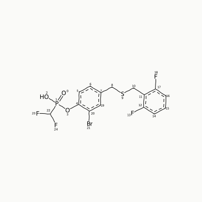 O=P(O)(Oc1ccc(CSCc2c(F)cccc2F)cc1Br)C(F)F